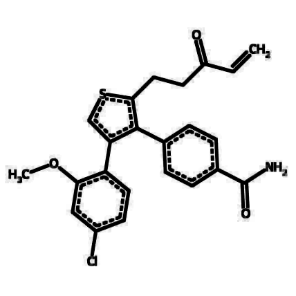 C=CC(=O)CCc1scc(-c2ccc(Cl)cc2OC)c1-c1ccc(C(N)=O)cc1